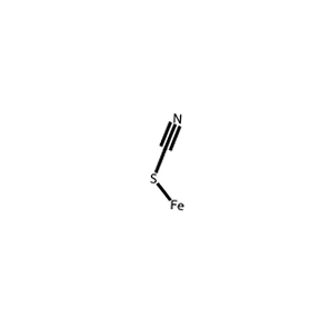 N#C[S][Fe]